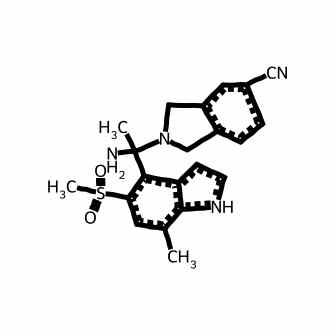 Cc1cc(S(C)(=O)=O)c(C(C)(N)N2Cc3ccc(C#N)cc3C2)c2cc[nH]c12